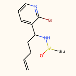 C=CCCC(N[S+]([O-])C(C)(C)C)c1cccnc1Br